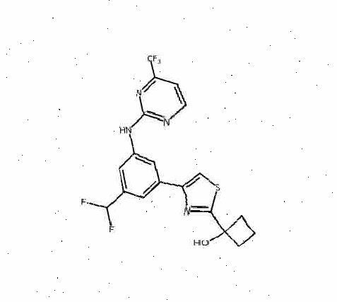 OC1(c2nc(-c3cc(Nc4nccc(C(F)(F)F)n4)cc(C(F)F)c3)cs2)CCC1